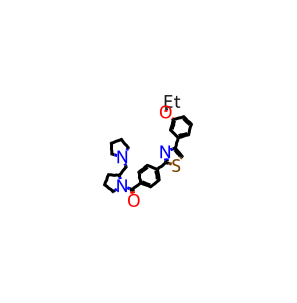 CCOc1cccc(-c2csc(-c3ccc(C(=O)N4CCCC4CN4CCCC4)cc3)n2)c1